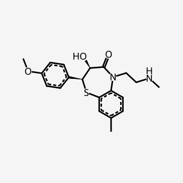 CNCCN1C(=O)[C@H](O)[C@H](c2ccc(OC)cc2)Sc2cc(C)ccc21